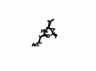 C=NO/C(=N\C)NC(=O)CCC(C)=O